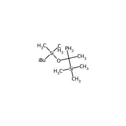 CCC(C)[Si](C)(C)OC(C)(P)[Si](C)(C)C